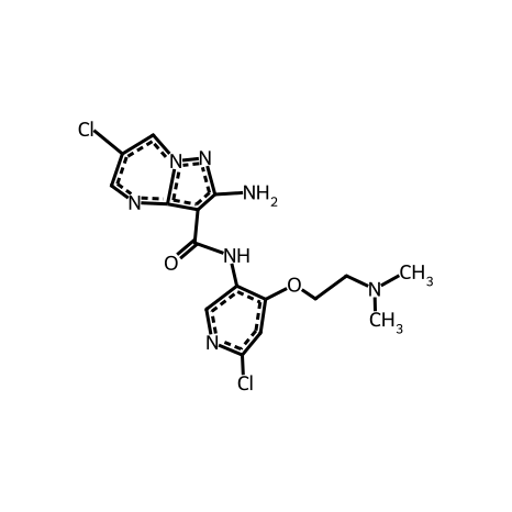 CN(C)CCOc1cc(Cl)ncc1NC(=O)c1c(N)nn2cc(Cl)cnc12